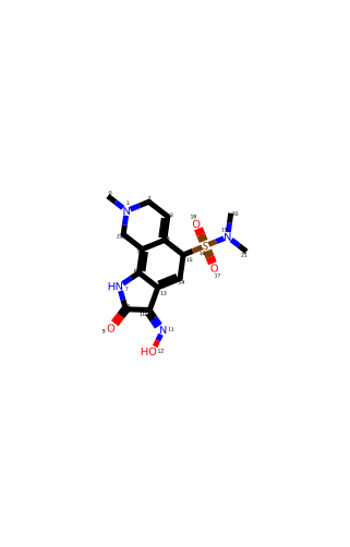 CN1CC=C2C(=C3NC(=O)C(=NO)C3=CC2S(=O)(=O)N(C)C)C1